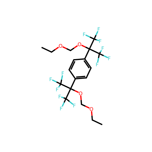 CCOCOC(c1ccc(C(OCOCC)(C(F)(F)F)C(F)(F)F)cc1)(C(F)(F)F)C(F)(F)F